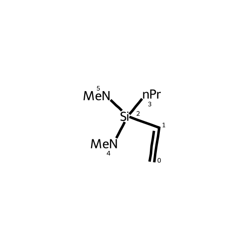 C=C[Si](CCC)(NC)NC